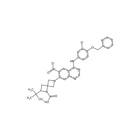 CC(C)(C)C1CC2(CN(c3cc4ncnc(Nc5ccc(OCc6ccccn6)c(Cl)c5)c4cc3[N+](=O)[O-])C2)N1C(=O)O